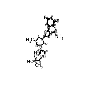 CC1CC(c2nc3c4cc(F)cc(F)c4nc(N)n3n2)CN(c2cnn(CC(C)(C)O)c2)C1